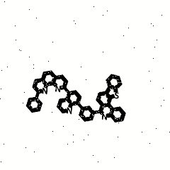 c1ccc(-c2ccc3ccc4ccc(-c5ccc(-c6cccc(-c7nc8ccccc8c8c7ccc7c9ccccc9sc78)c6)c6ncccc56)nc4c3n2)cc1